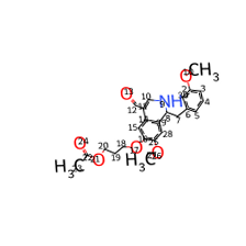 COc1cccc(CC2NC=C(C=O)c3cc(OCCCOC(C)=O)c(OC)cc32)c1